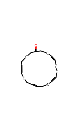 O=C1CCC=CCCC=CCCC=CCCC=CCCC1